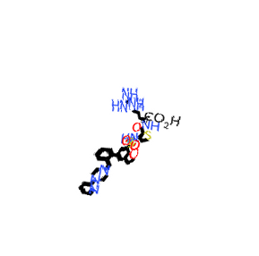 N=C(N)NCCC[C@H](NC(=O)c1sccc1NS(=O)(=O)c1cc(-c2ccccc2CN2CCN(c3ccccn3)CC2)cc2c1OCC2)C(=O)O